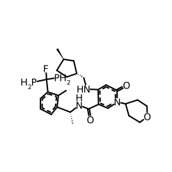 Cc1c([C@@H](C)NC(=O)c2cn(C3CCOCC3)c(=O)cc2NC[C@@H]2CC[C@@H](C)C2)cccc1C(F)(P)P